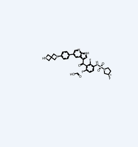 O=C(c1c(F)ccc(NS(=O)(=O)N2CC[C@@H](F)C2)c1F)c1c[nH]c2ncc(-c3ccc(N4CC5(CNC5)C4)cc3)cc12.O=CO